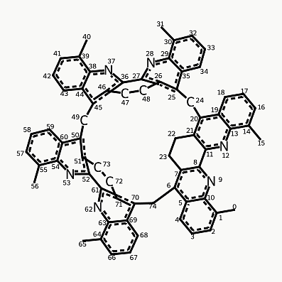 Cc1cccc2c3c4c(nc12)-c1nc2c(C)cccc2c(c1CC4)Cc1c2c(nc4c(C)cccc14)-c1nc4c(C)cccc4c(c1CC2)Cc1c2c(nc4c(C)cccc14)-c1nc4c(C)cccc4c(c1CC2)C3